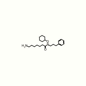 NCCCCCCC(=O)N(CCCc1ccccc1)OC1CCCCC1